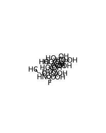 C#CCCCC(=O)Nc1ccc(O[C@H](O)/C(O)=C(/O)[C@H](CCO)O[C@@H](O)/C(O)=C(/O)[C@H](CCO)O[C@@H](O)/C(O)=C(/O)[C@@H](CCO)O[C@@H](O)/C(O)=C(/O)[C@H](O)CCO)c(CF)c1